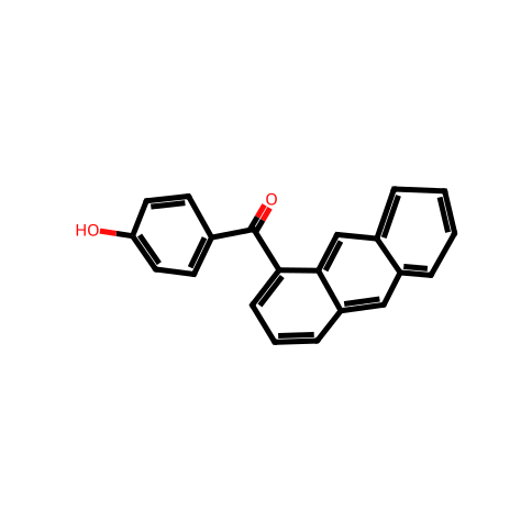 O=C(c1ccc(O)cc1)c1cccc2cc3ccccc3cc12